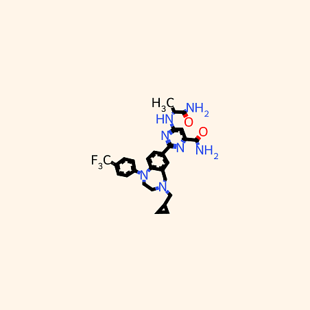 CC(Nc1cc(C(N)=O)nc(-c2ccc3c(c2)CN(CC2CC2)CCN3c2ccc(C(F)(F)F)cc2)n1)C(N)=O